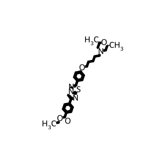 CCOC(=O)c1ccc(-c2cn3nc(-c4ccc(OCCCCCN5C[C@@H](C)O[C@@H](C)C5)cc4)sc3n2)cc1